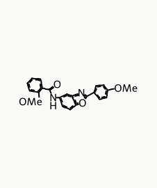 COc1ccc(-c2nc3cc(NC(=O)c4ccccc4OC)ccc3o2)cc1